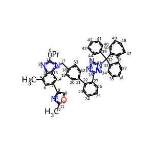 CCCc1nc2c(C)cc(-c3coc(C)n3)cc2n1Cc1ccc(-c2ccccc2-c2nnn(C(c3ccccc3)(c3ccccc3)c3ccccc3)n2)cc1